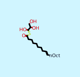 CCCCCCCCC=CCCCCCCCC(=O)SC(O)C(O)CO